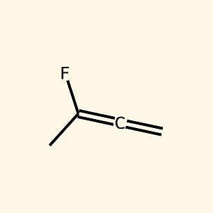 C=C=C(C)F